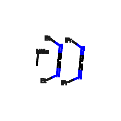 CC(C)N=C=NC(C)C.CCN=C=NCC.CNC